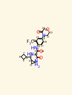 NC(=O)[C@H](NC(C1CCC1)C1CC1)C(=O)Nc1ccc(N2CCOCC2=O)cc1C(F)(F)F